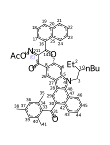 CCCCC(CC)Cn1c2ccc(C(=O)/C(=N\OC(C)=O)C(=O)c3cccc4ccccc34)cc2c2cc(C(=O)c3c(C)cc(C)cc3C)c3ccccc3c21